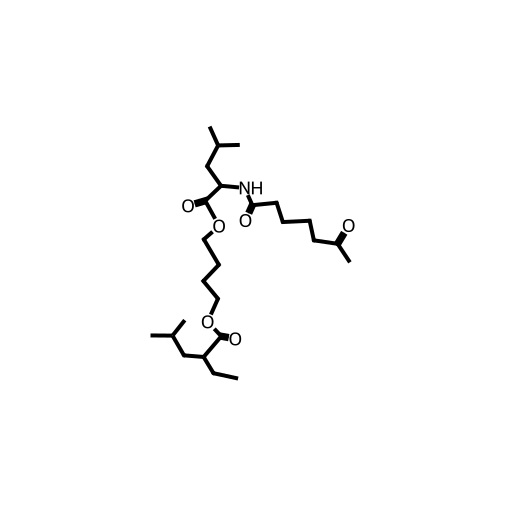 CCC(CC(C)C)C(=O)OCCCCOC(=O)C(CC(C)C)NC(=O)CCCCC(C)=O